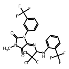 CN1C(=O)C(=NC(Nc2ccccc2C(F)(F)F)C(Cl)(Cl)Cl)N(c2cccc(C(F)(F)F)c2)C1=O